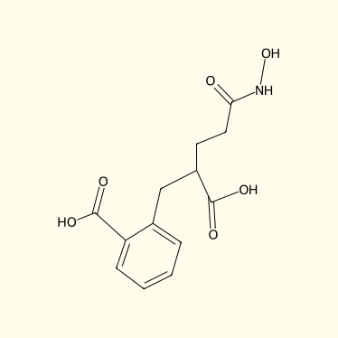 O=C(CCC(Cc1ccccc1C(=O)O)C(=O)O)NO